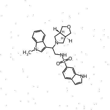 Cn1cc(C(CNS(=O)(=O)c2ccc3cc[nH]c3c2)N2C[C@@H]3COC[C@H]3C2)c2ccccc21